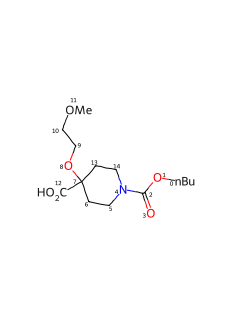 CCCCOC(=O)N1CCC(OCCOC)(C(=O)O)CC1